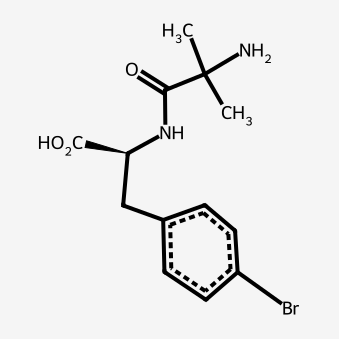 CC(C)(N)C(=O)N[C@@H](Cc1ccc(Br)cc1)C(=O)O